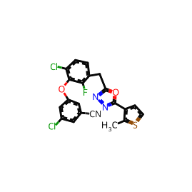 Cc1sccc1-c1nnc(Cc2ccc(Cl)c(Oc3cc(Cl)cc(C#N)c3)c2F)o1